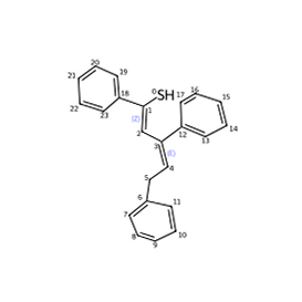 S/C(=C\C(=C/Cc1ccccc1)c1ccccc1)c1ccccc1